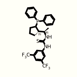 C[C@@H](NC(=S)Nc1cc(C(F)(F)F)cc(C(F)(F)F)c1)[C@@H]1CCCC1P(c1ccccc1)c1ccccc1